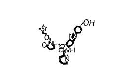 C[Si](C)(C)CCOCN1C(=O)CC[C@H]1COc1cc2nn([C@H]3CC[C@H](CO)CC3)cc2cc1NC(=O)c1ccccn1